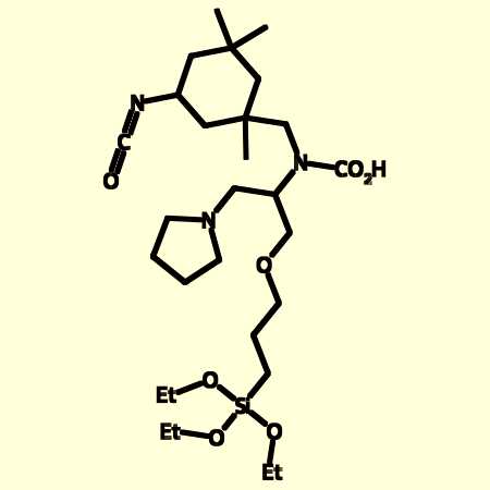 CCO[Si](CCCOCC(CN1CCCC1)N(CC1(C)CC(N=C=O)CC(C)(C)C1)C(=O)O)(OCC)OCC